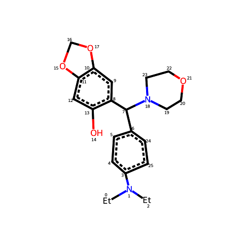 CCN(CC)c1ccc(C(c2cc3c(cc2O)OCO3)N2CCOCC2)cc1